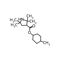 CC1CCC(OC(=O)C2CC(C)(C)NC2(C)C)CC1